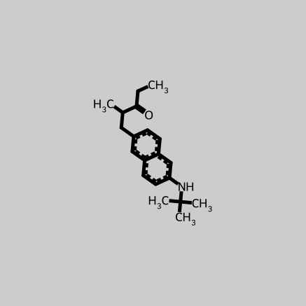 CCC(=O)C(C)Cc1ccc2cc(NC(C)(C)C)ccc2c1